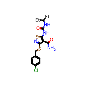 CCC(CC)NC(=O)Nc1snc(SCc2ccc(Cl)cc2)c1C(N)=O